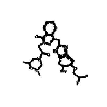 CC1CN(C(=O)Cn2nc(Cc3nc4cc(OCC(F)F)c(C#N)cc4[nH]3)c3ccccc3c2=O)C[C@H](C)O1